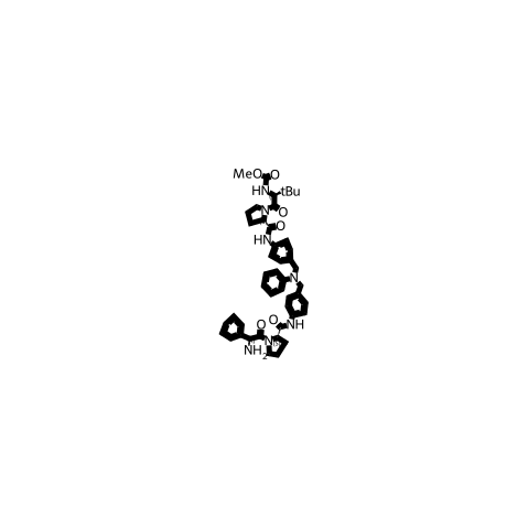 COC(=O)N[C@H](C(=O)N1CCC[C@H]1C(=O)Nc1ccc(CN(Cc2ccc(NC(=O)[C@@H]3CCCN3C(=O)[C@H](N)c3ccccc3)cc2)c2ccccc2)cc1)C(C)(C)C